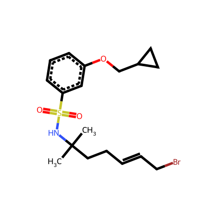 CC(C)(CCC=CCBr)NS(=O)(=O)c1cccc(OCC2CC2)c1